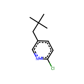 CC(C)(C)Cc1ccc(Cl)nc1